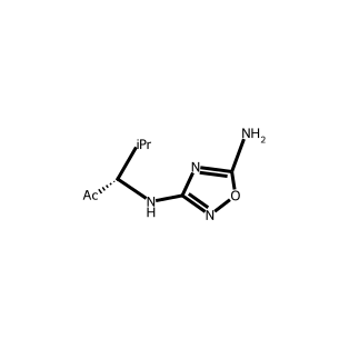 CC(=O)[C@@H](Nc1noc(N)n1)C(C)C